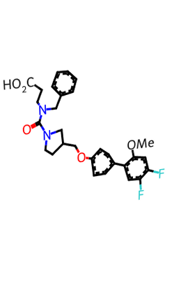 COc1cc(F)c(F)cc1-c1ccc(OCC2CCN(C(=O)N(CCC(=O)O)Cc3ccccc3)C2)cc1